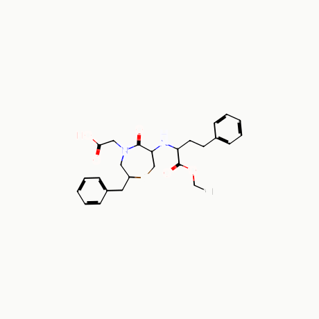 CCOC(=O)C(CCc1ccccc1)NC1CSC(Cc2ccccc2)CN(CC(=O)O)C1=O